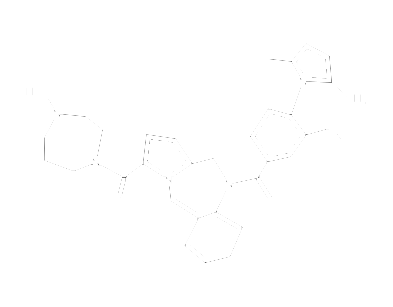 COc1cc(C(=O)N2Cc3ccc(C(=O)N4CCCN(C)CC4)n3C=C3C=CCC=C32)ccc1-n1c(C)ccc1C